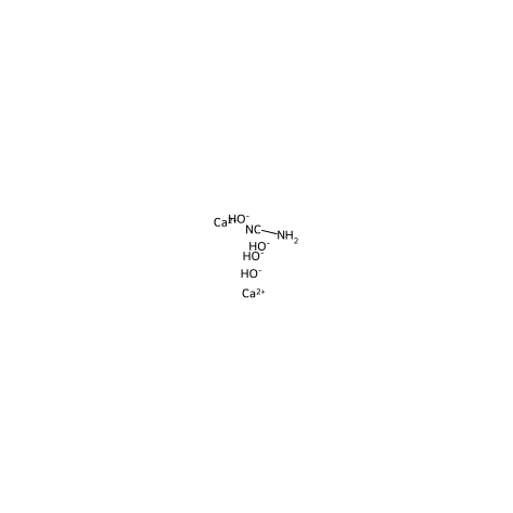 N#CN.[Ca+2].[Ca+2].[OH-].[OH-].[OH-].[OH-]